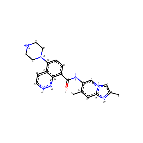 Cc1cn2cc(NC(=O)c3ccc(N4CCNCC4)c4ccnnc34)c(C)cc2n1